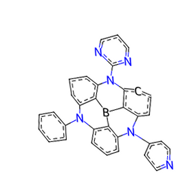 c1ccc(N2c3cccc4c3B3c5c2cccc5N(c2ncccn2)c2cccc(c23)N4c2ccncc2)cc1